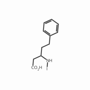 O=C(O)CC(CCc1ccccc1)NI